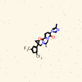 Cc1cn(-c2ccc3n(c2=O)C[C@@H](C)N(CC2(c4cc(C(F)(F)F)cc(C(F)(F)F)c4)CC2)C3=O)cn1